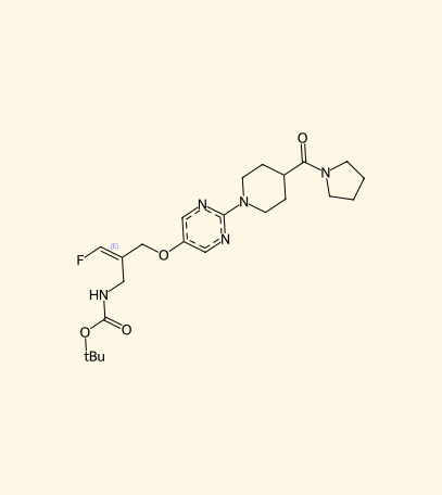 CC(C)(C)OC(=O)NC/C(=C\F)COc1cnc(N2CCC(C(=O)N3CCCC3)CC2)nc1